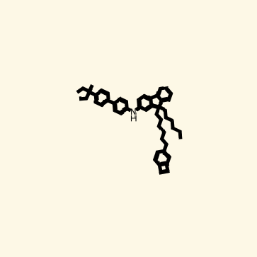 CCCCCCC1(CCCCCCc2ccc3c(c2)CC3)c2ccccc2-c2ccc(Nc3ccc(-c4ccc(C(C)(CC)CC)cc4)cc3)cc21